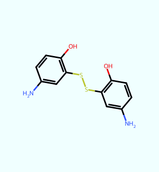 Nc1ccc(O)c(SSc2cc(N)ccc2O)c1